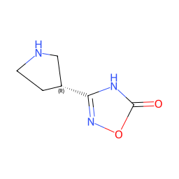 O=c1[nH]c([C@@H]2CCNC2)no1